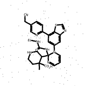 CCNC(=O)NC1(C2CNCCC2(C)C(=O)O)N=CC=CN1c1cc(-c2ccc(CC#N)cn2)c2scnc2c1